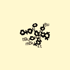 CCCCC(C)(C)c1cc2c3c(sc2cc1CC)B1c2cc4c(cc2N(c2ccc(C(C)(C)C)cc2)c2cc(N(c5ccccc5)c5ccc(C(C)(C)c6ccccc6)cc5)cc(c21)N3c1ccc(C(C)(C)C)cc1)C(C)(C)CCC4(C)C